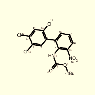 CC(C)(C)OC(=O)Nc1c(-c2cc(Cl)c(Cl)cc2Cl)cccc1[N+](=O)[O-]